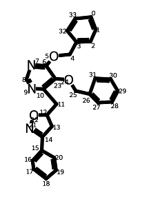 c1ccc(COc2ncnc(CC3CC(c4ccccc4)=NO3)c2OCc2ccccc2)cc1